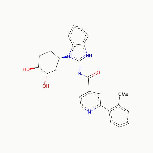 COc1ccccc1-c1cc(C(=O)/N=c2\[nH]c3ccccc3n2[C@@H]2CC[C@H](O)[C@@H](O)C2)ccn1